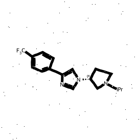 CC(C)N1CC[C@@H](n2cnc(-c3ccc(C(F)(F)F)cc3)c2)C1